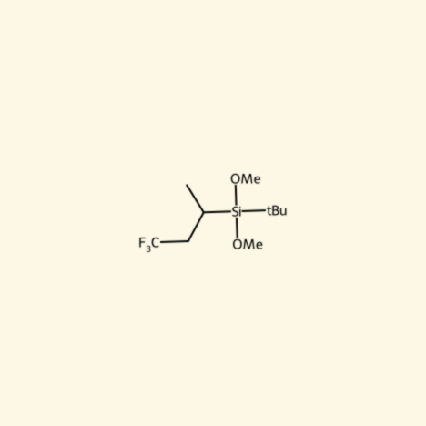 CO[Si](OC)(C(C)CC(F)(F)F)C(C)(C)C